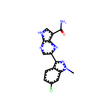 Cn1nc(-c2cnc3[nH]cc(C(N)=O)c3n2)c2ccc(Cl)cc21